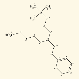 C[Si](C)(C)SCCC(CCCCC(=O)O)SCc1ccccc1